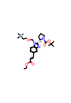 CCOC(=O)/C=C/c1ccc2c(c1)nc([C@@H]1CCCN1C(=O)OC(C)(C)C)n2COCC[Si](C)(C)C